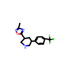 Cc1noc(C2CNCC(c3ccc(C(F)(F)F)cc3)C2)n1